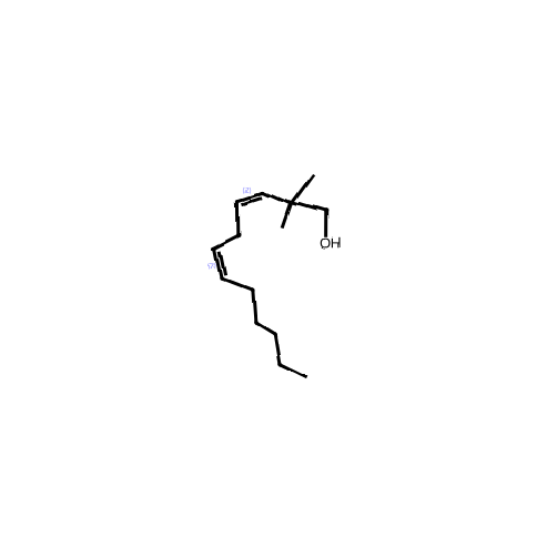 CCCCC/C=C\C/C=C\C(C)(C)CO